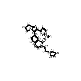 CC(C)n1ccc(-c2nc3n(c2-c2ccc4ncn(CCN5CCCC5)c(=O)c4c2)CCC3)n1